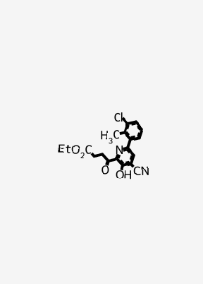 CCOC(=O)CCC(=O)c1nc(-c2cccc(Cl)c2C)cc(C#N)c1O